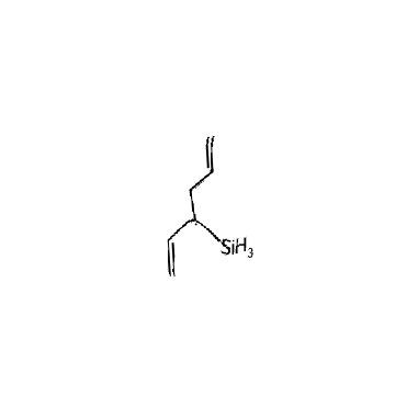 C=CC[C]([SiH3])C=C